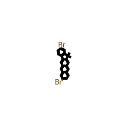 CC1(C)c2cc(Br)ccc2-c2cc3cc4cc(Br)ccc4cc3cc21